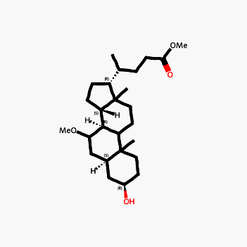 COC(=O)CCC(C)[C@H]1CC[C@H]2[C@@H]3C(OC)C[C@@H]4C[C@H](O)CCC4(C)C3CCC12C